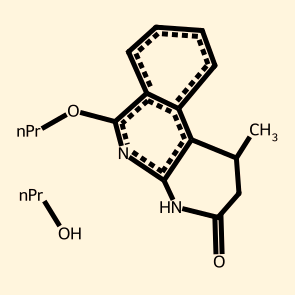 CCCO.CCCOc1nc2c(c3ccccc13)C(C)CC(=O)N2